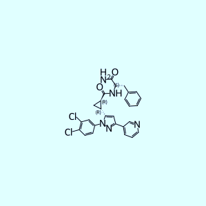 NC(=O)[C@H](Cc1ccccc1)NC(=O)[C@@H]1C[C@H]1c1cc(-c2cccnc2)nn1-c1ccc(Cl)c(Cl)c1